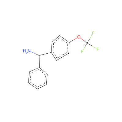 NC(c1cc[c]cc1)c1ccc(OC(F)(F)F)cc1